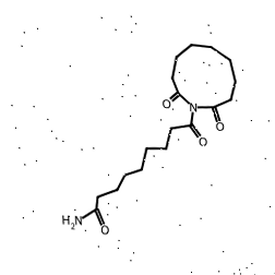 NC(=O)CCCCCCCC(=O)N1C(=O)CCCCCCCC1=O